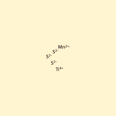 [Mn+2].[S-2].[S-2].[S-2].[Ti+4]